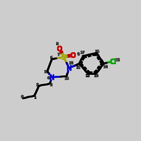 CCCCN1CCS(=O)(=O)N(c2ccc(Cl)cc2)C1